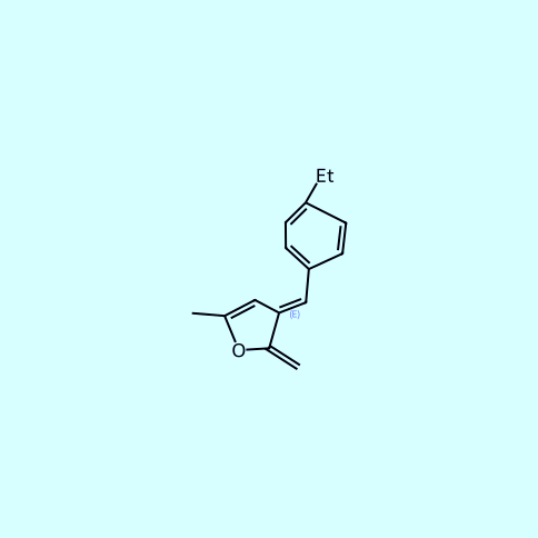 C=c1oc(C)c/c1=C\c1ccc(CC)cc1